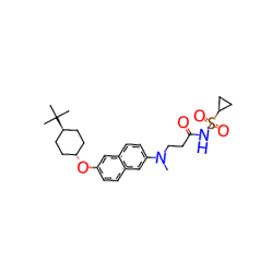 CN(CCC(=O)NS(=O)(=O)C1CC1)c1ccc2cc(O[C@H]3CC[C@H](C(C)(C)C)CC3)ccc2c1